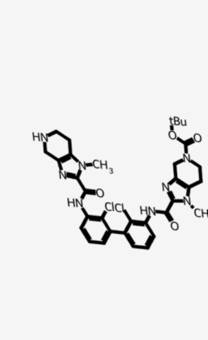 Cn1c(C(=O)Nc2cccc(-c3cccc(NC(=O)c4nc5c(n4C)CCN(C(=O)OC(C)(C)C)C5)c3Cl)c2Cl)nc2c1CCNC2